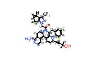 CC(C)(O)C#Cc1ccc(-c2cccc3c(N)nccc23)c([C@H](Cc2cc(F)cc(F)c2)NC(=O)Cn2nc(C(F)(F)F)c3c2C(F)(F)C2C[C@H]32)n1